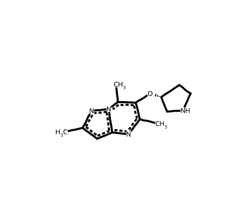 Cc1cc2nc(C)c(O[C@@H]3CCNC3)c(C)n2n1